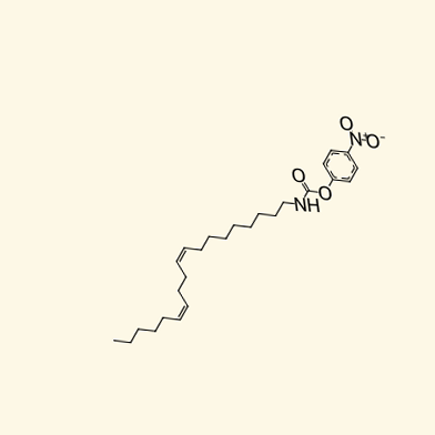 CCCCC/C=C\CC/C=C\CCCCCCCCNC(=O)Oc1ccc([N+](=O)[O-])cc1